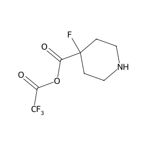 O=C(OC(=O)C1(F)CCNCC1)C(F)(F)F